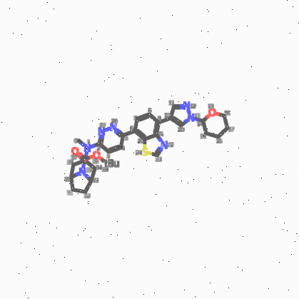 CN(c1ccc(-c2ccc(-c3cnn(C4CCCCO4)c3)c3ncsc23)nn1)C1CC2CCC(C1)N2C(=O)OC(C)(C)C